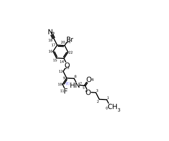 CCCCOC(=O)NC/C(=C\F)COc1ccc(C#N)c(Br)c1